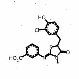 CN1C(=O)C(Cc2ccc(O)c(Cl)c2)S/C1=N\c1cccc(C(=O)O)c1